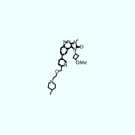 CO[C@H]1C[C@@H](n2c(=O)n(C)c3nnc4ccc(-c5ccc(COCCN6CCC(F)CC6)nc5)cc4c32)C1